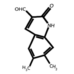 Cc1cc2cc(C=O)c(=O)[nH]c2cc1C